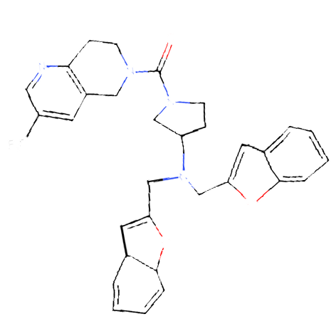 O=C(N1CCc2ncc(C(F)(F)F)cc2C1)N1CCC(N(CC2=CC3C=CC=CC3O2)Cc2cc3ccccc3o2)C1